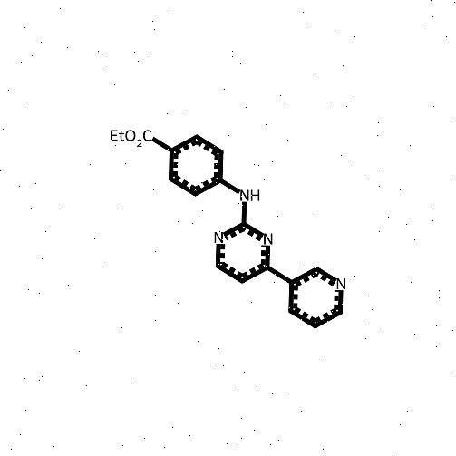 CCOC(=O)c1ccc(Nc2nccc(-c3cccnc3)n2)cc1